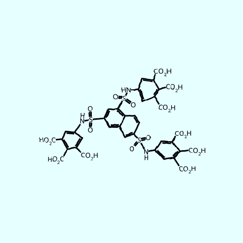 O=C(O)c1cc(NS(=O)(=O)c2ccc3c(S(=O)(=O)Nc4cc(C(=O)O)c(C(=O)O)c(C(=O)O)c4)cc(S(=O)(=O)Nc4cc(C(=O)O)c(C(=O)O)c(C(=O)O)c4)cc3c2)cc(C(=O)O)c1C(=O)O